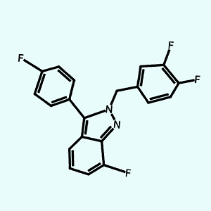 Fc1ccc(-c2c3cccc(F)c3nn2Cc2ccc(F)c(F)c2)cc1